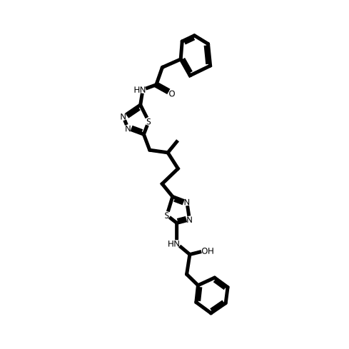 CC(CCc1nnc(NC(O)Cc2ccccc2)s1)Cc1nnc(NC(=O)Cc2ccccc2)s1